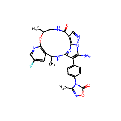 Cc1noc(=O)n1-c1ccc(-c2c3nc4c(cnn4c2N)C(=O)NCC(C)Oc2ncc(F)cc2C(C)N3)cc1